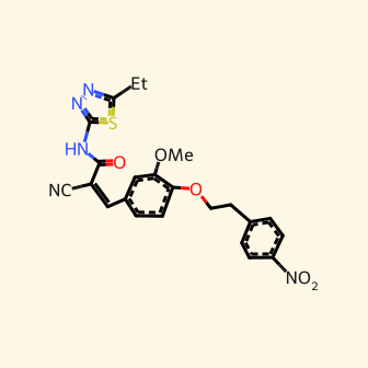 CCc1nnc(NC(=O)C(C#N)=Cc2ccc(OCCc3ccc([N+](=O)[O-])cc3)c(OC)c2)s1